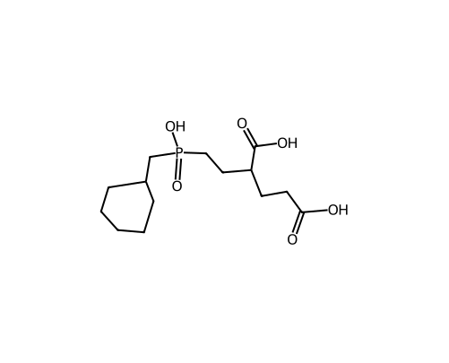 O=C(O)CCC(CCP(=O)(O)CC1CCCCC1)C(=O)O